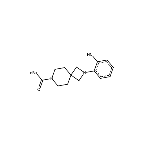 CCCCC(=O)N1CCC2(CC1)CN(c1ccccc1C#N)C2